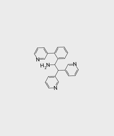 NC(c1ccccc1-c1cccnc1)C(c1cccnc1)c1cccnc1